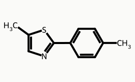 Cc1ccc(-c2ncc(C)s2)cc1